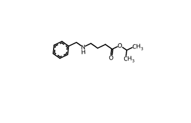 CC(C)OC(=O)CCCNCc1ccccc1